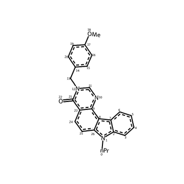 CCCn1c2ccccc2c2c3ncn(Cc4ccc(OC)cc4)c(=O)c3ccc21